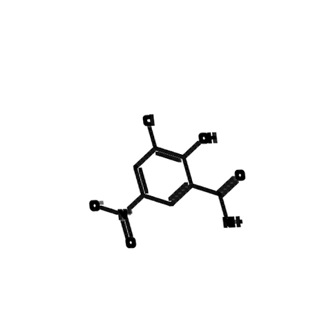 [NH]C(=O)c1cc([N+](=O)[O-])cc(Cl)c1O